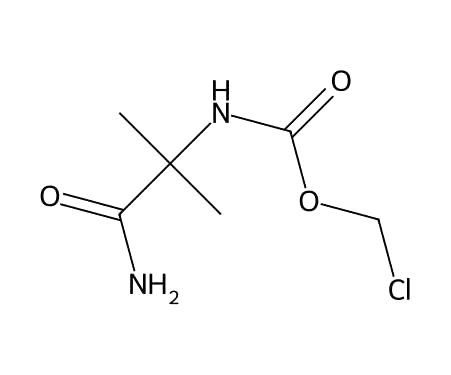 CC(C)(NC(=O)OCCl)C(N)=O